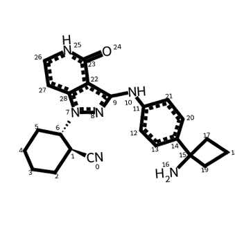 N#C[C@H]1CCCC[C@@H]1n1nc(Nc2ccc(C3(N)CCC3)cc2)c2c(=O)[nH]ccc21